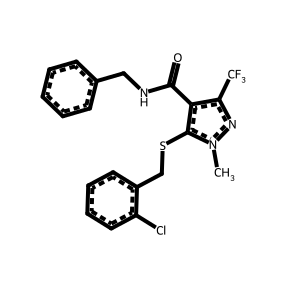 Cn1nc(C(F)(F)F)c(C(=O)NCc2ccccc2)c1SCc1ccccc1Cl